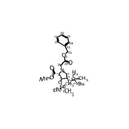 COC(=O)[C@H]1C(O[Si](C)(C)C(C)(C)C)C(O[Si](C)(C)C(C)(C)C)CN1CC(=O)OCc1ccccc1